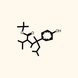 CC(C)CC(C)(c1ccc(O)cc1)C(C)C(C(=O)OC(C)(C)C)C(C)C